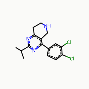 CC(C)c1nc2c(c(-c3ccc(Cl)c(Cl)c3)n1)CNCC2